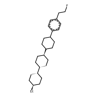 CC[C@H]1CC[C@H]([C@H]2CC[C@H](C3CCC(c4ccc(CCF)cc4)CC3)CC2)CC1